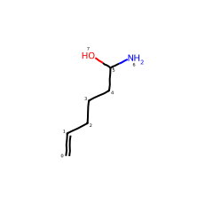 C=CCCC[C](N)O